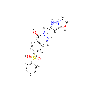 O=c1c2ccc(S(=O)(=O)c3ccccc3)cc2cnn1Cc1cc2n(n1)CCO2